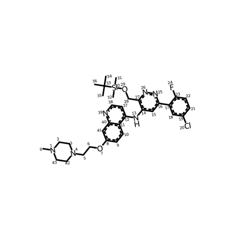 CN1CCN(CCOc2ccc3c(Nc4cc(-c5cc(Cl)ccc5F)nnc4CO[Si](C)(C)C(C)(C)C)ccnc3c2)CC1